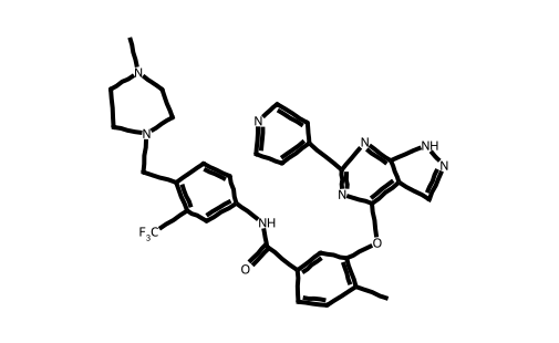 Cc1ccc(C(=O)Nc2ccc(CN3CCN(C)CC3)c(C(F)(F)F)c2)cc1Oc1nc(-c2ccncc2)nc2[nH]ncc12